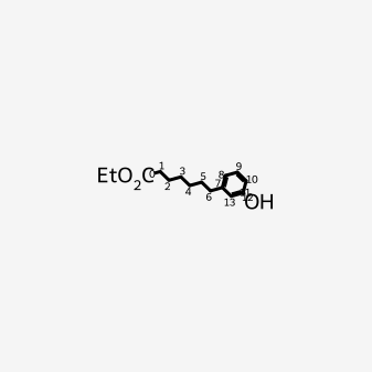 CCOC(=O)CCCCCCc1cccc(O)c1